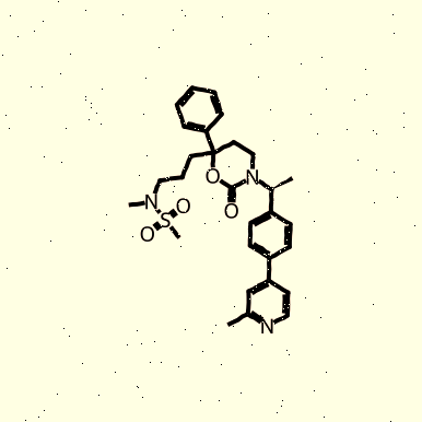 Cc1cc(-c2ccc([C@H](C)N3CCC(CCCN(C)S(C)(=O)=O)(c4ccccc4)OC3=O)cc2)ccn1